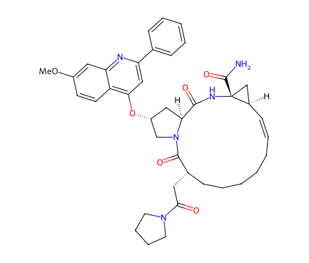 COc1ccc2c(O[C@@H]3C[C@H]4C(=O)N[C@]5(C(N)=O)C[C@H]5/C=C\CCCCC[C@H](CC(=O)N5CCCC5)C(=O)N4C3)cc(-c3ccccc3)nc2c1